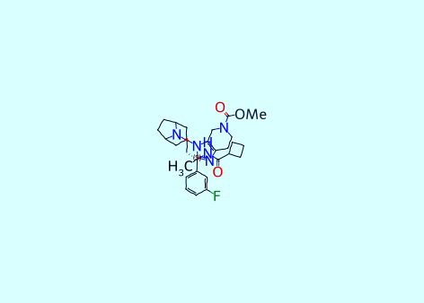 COC(=O)N1CCc2nc(C)n(C3CC4CCC(C3)N4CC[C@H](NC(=O)C3CCC3)c3cccc(F)c3)c2C1